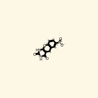 O=c1[nH]c2c(c(=O)[nH]1)Cc1cc([N+](=O)[O-])ccc1O2